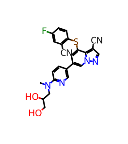 CN(CC(O)CO)c1ccc(-c2cc(Sc3ccc(F)cc3C#N)c3c(C#N)cnn3c2)cn1